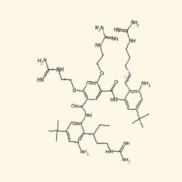 CCC(CCNC(=N)N)c1c(N)cc(C(C)(C)C)cc1NC(=O)c1cc(C(=O)Nc2cc(C(C)(C)C)cc(N)c2/C=C/CCCNC(=N)N)c(OCCNC(=N)N)cc1OCCNC(=N)N